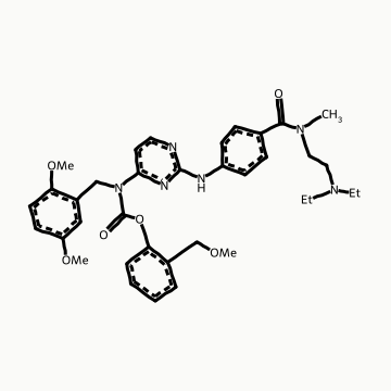 CCN(CC)CCN(C)C(=O)c1ccc(Nc2nccc(N(Cc3cc(OC)ccc3OC)C(=O)Oc3ccccc3COC)n2)cc1